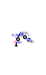 C=C(/N=C\C=C(/N)c1ccc(NC(=O)C2CC2)cc1)Nc1ccc(N2CCN(CC)CC2)cc1